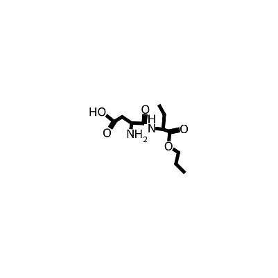 CCCOC(=O)C(CC)NC(=O)C(N)CC(=O)O